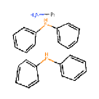 CC(C)N.c1ccc(Pc2ccccc2)cc1.c1ccc(Pc2ccccc2)cc1